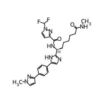 CNC(=O)CCCCC[C@H](NC(=O)c1ccn(C(F)F)n1)c1ncc(-c2ccc(-c3ccn(C)n3)cc2)[nH]1